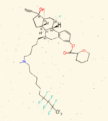 C#C[C@@]1(O)CC[C@H]2[C@@H]3[C@H](CCCCCN(C)CCCCCCC(F)(F)C(F)(F)C(F)(F)C(F)(F)F)Cc4cc(OC(=O)C5CCCCO5)ccc4[C@H]3[C@@H](F)C[C@@]21C